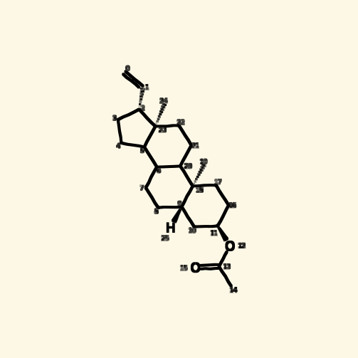 C=C[C@H]1CCC2C3CC[C@H]4C[C@H](OC(C)=O)CC[C@]4(C)C3CC[C@@]21C